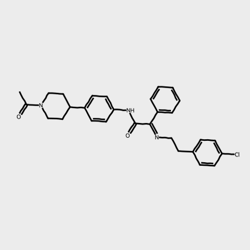 CC(=O)N1CCC(c2ccc(NC(=O)/C(=N/CCc3ccc(Cl)cc3)c3ccccc3)cc2)CC1